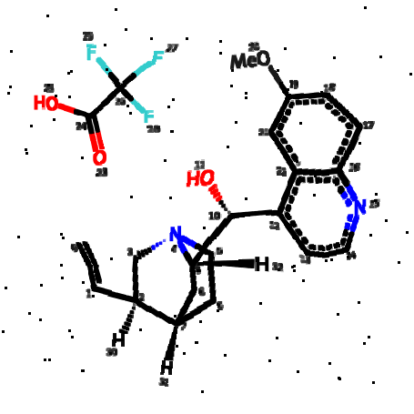 C=C[C@H]1C[N@]2CC[C@H]1C[C@H]2[C@H](O)c1ccnc2ccc(OC)cc12.O=C(O)C(F)(F)F